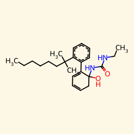 CCCCCCC(C)(C)c1ccccc1C1=CC=CCC1(O)NC(=O)NCC